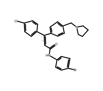 O=C(/C=C(/c1ccc(Cl)cc1)c1ccc(CN2CCCC2)cc1)Nc1ccc(Br)cc1